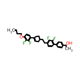 C=CCCOc1ccc(C2=CCC(CCc3ccc(-c4ccc(C(C)O)cc4)c(F)c3F)CC2)c(F)c1F